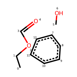 CCOC=O.CO.c1ccccc1